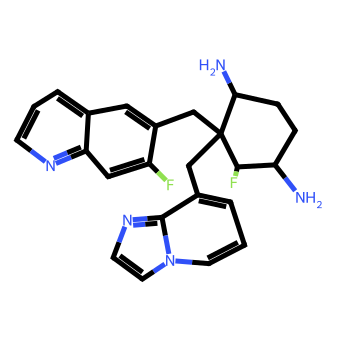 NC1CCC(N)C(Cc2cc3cccnc3cc2F)(Cc2cccn3ccnc23)C1F